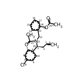 C=CC[C@@H](c1ccc(Cl)cc1)N(Cc1ccccc1OC(C)=O)C(C)=O